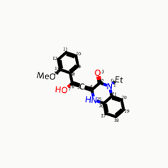 CCN1C(=O)C(=C=C(O)c2ccccc2OC)Nc2ccccc21